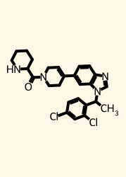 CC(c1ccc(Cl)cc1Cl)n1cnc2ccc(C3=CCN(C(=O)C4CCCCN4)CC3)cc21